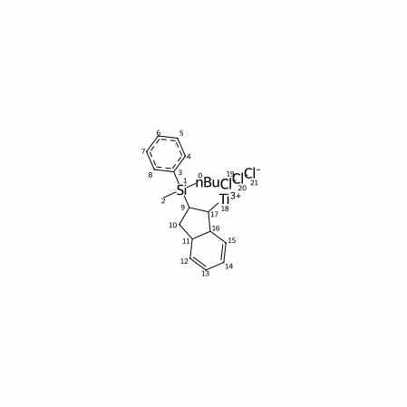 CCCC[Si](C)(c1ccccc1)C1CC2C=CC=CC2[CH]1[Ti+3].[Cl-].[Cl-].[Cl-]